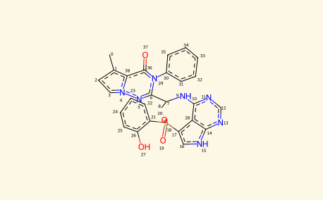 Cc1ccn2nc(C(C)Nc3ncnc4[nH]cc(S(=O)(=O)c5ccccc5O)c34)n(-c3ccccc3)c(=O)c12